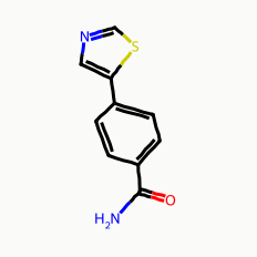 NC(=O)c1ccc(-c2cncs2)cc1